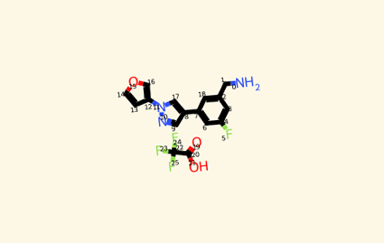 NCc1cc(F)cc(-c2cnn(-c3ccoc3)c2)c1.O=C(O)C(F)(F)F